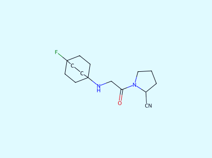 N#CC1CCCN1C(=O)CNC12CCC(F)(CC1)CC2